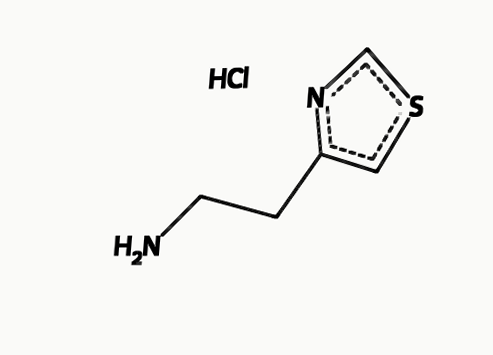 Cl.NCCc1cscn1